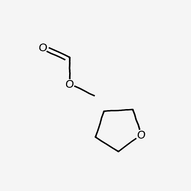 C1CCOC1.COC=O